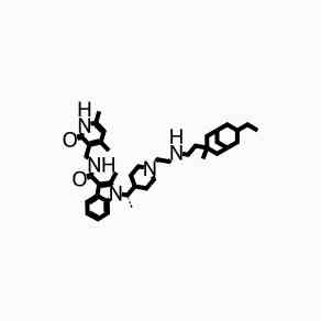 CCC1CC2CC(C1)CC(C)(CCNCCN1CCC([C@H](C)n3c(C)c(C(=O)NCc4c(C)cc(C)[nH]c4=O)c4ccccc43)CC1)C2